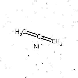 C=C=C.[Ni]